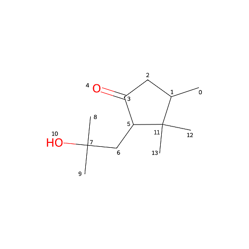 CC1CC(=O)C(CC(C)(C)O)C1(C)C